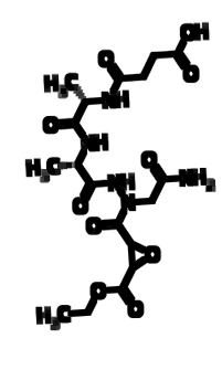 CCOC(=O)C1OC1C(=O)N(CC(N)=O)NC(=O)[C@H](C)NC(=O)[C@H](C)NC(=O)CCC(=O)O